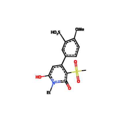 CCn1c(O)cc(-c2ccc(OC)c(S(=O)(=O)O)c2)c(S(C)(=O)=O)c1=O